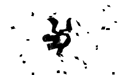 C=CCC1(CC=C)CCC(=O)NC1=O